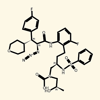 C[C@@H](O)CN(C[C@@H](CCc1c(F)cccc1NC(=O)[C@@H](N=[N+]=[N-])[C@@H](c1ccc(F)cc1)C1CCOCC1)NS(=O)(=O)c1ccccc1)C(=O)O